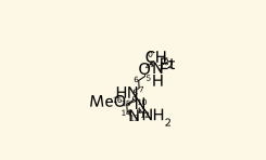 C=C(NCC)OCCCNc1nc(N)ncc1OC